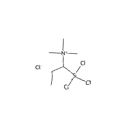 CCC([N+](C)(C)C)[Si](Cl)(Cl)Cl.[Cl-]